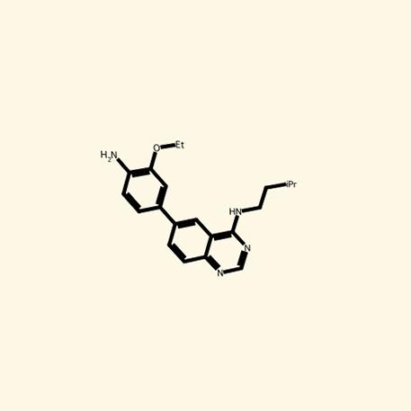 CCOc1cc(-c2ccc3ncnc(NCCC(C)C)c3c2)ccc1N